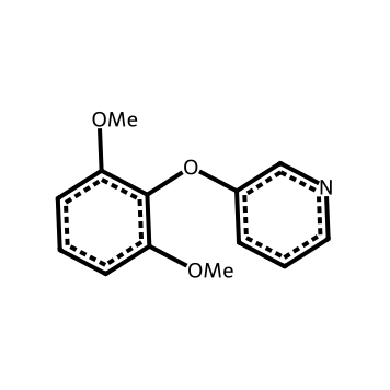 COc1cccc(OC)c1Oc1cccnc1